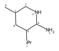 CC1CNC(N)C(C(C)C)C1